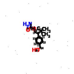 CC(C)(C)C(COC(N)=O)c1ccc(CO)cc1